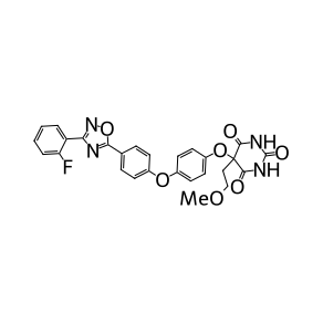 COCCC1(Oc2ccc(Oc3ccc(-c4nc(-c5ccccc5F)no4)cc3)cc2)C(=O)NC(=O)NC1=O